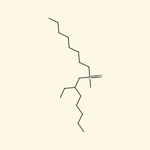 CCCCCCCCP(C)(=O)CC(CC)CCCCC